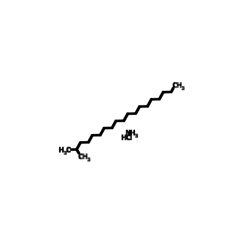 CCCCCCCCCCCCCCCCCC(C)C.Cl.N